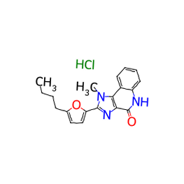 CCCCc1ccc(-c2nc3c(=O)[nH]c4ccccc4c3n2C)o1.Cl